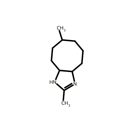 CC1=NC2CCCC(C)CCC2N1